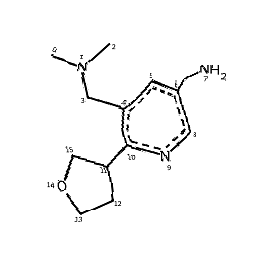 CN(C)Cc1cc(N)cnc1C1CCOC1